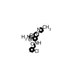 Cc1ccc(N2CCc3c(cc(NC(=O)Cc4ccccc4Cl)cc3S(N)(=O)=O)C2)nc1